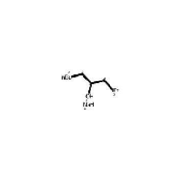 CCCCCC(O)CC(C)C.[NaH]